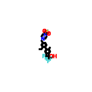 CCc1cc(CN2CCN(S(C)(=O)=O)CC2)ccc1-c1cc2c(cc1C)C(O)(C(F)(F)F)C2(F)F